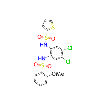 COc1ccccc1S(=O)(=O)Nc1cc(Cl)c(Cl)cc1NS(=O)(=O)c1cccs1